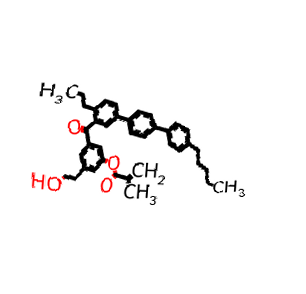 C=C(C)C(=O)Oc1cc(CCO)cc(C(=O)c2cc(-c3ccc(-c4ccc(CCCCC)cc4)cc3)ccc2CCC)c1